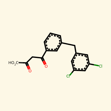 O=C(O)C(=O)CC(=O)c1cccc(Cc2cc(Cl)cc(Cl)c2)c1